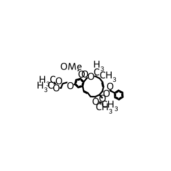 COCOc1cc(OCC2COC(C)(C)O2)cc2c1C(=O)OC(C)[C@H](C)/C=C\C(OC(=O)c1ccccc1)C1OC(C)(C)OC1C/C=C/2